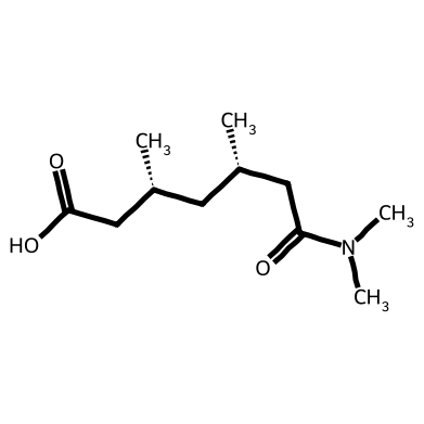 C[C@H](CC(=O)N(C)C)C[C@@H](C)CC(=O)O